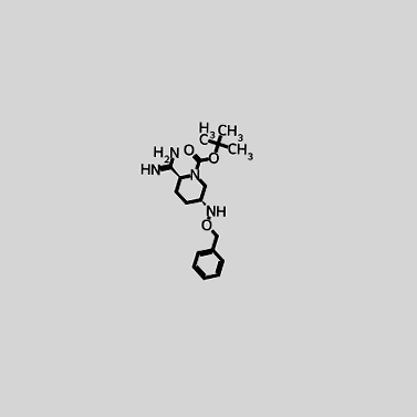 CC(C)(C)OC(=O)N1C[C@H](NOCc2ccccc2)CC[C@H]1C(=N)N